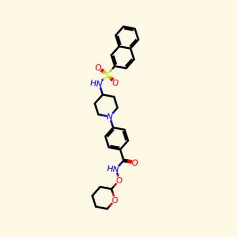 O=C(NOC1CCCCO1)c1ccc(N2CCC(NS(=O)(=O)c3ccc4ccccc4c3)CC2)cc1